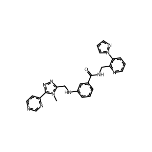 Cn1c(CNc2cccc(C(=O)NCc3ncccc3-n3cccn3)c2)nnc1-c1ccncn1